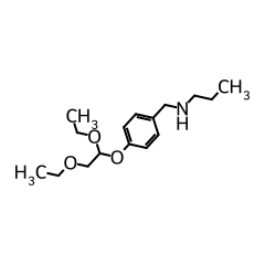 CCCNCc1ccc(OC(COCC)OCC)cc1